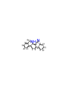 CC(Nc1cccc(-c2ccccc2)c1C#N)c1ccccc1